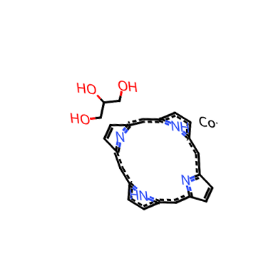 C1=Cc2cc3ccc(cc4nc(cc5ccc(cc1n2)[nH]5)C=C4)[nH]3.OCC(O)CO.[Co]